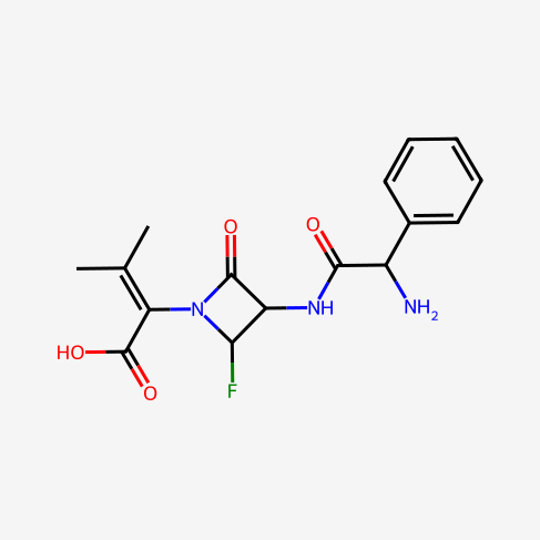 CC(C)=C(C(=O)O)N1C(=O)C(NC(=O)C(N)c2ccccc2)C1F